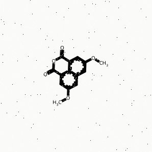 COc1cc2c3c(cc(OC)cc3c1)C(=O)OC2=O